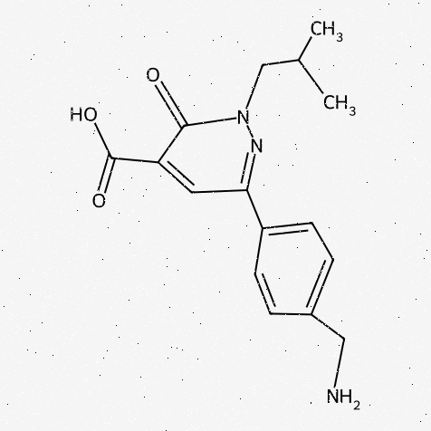 CC(C)Cn1nc(-c2ccc(CN)cc2)cc(C(=O)O)c1=O